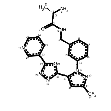 C[C@H](N)C(=O)NCc1cccc(-n2nc(C(F)(F)F)cc2-c2nnc(-c3cccnc3)o2)c1